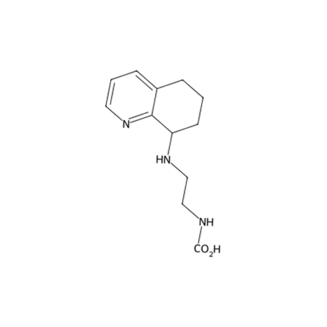 O=C(O)NCCNC1CCCc2cccnc21